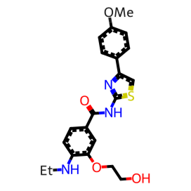 CCNc1ccc(C(=O)Nc2nc(-c3ccc(OC)cc3)cs2)cc1OCCO